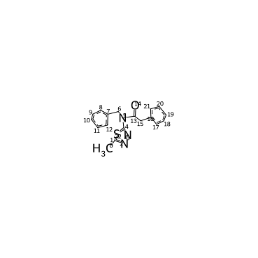 Cc1nnc(N(Cc2ccccc2)C(=O)Cc2ccccc2)s1